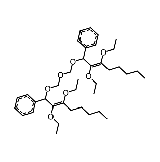 CCCCCC(OCC)=C(OCC)C(OCOCOC(C(OCC)=C(CCCCC)OCC)c1ccccc1)c1ccccc1